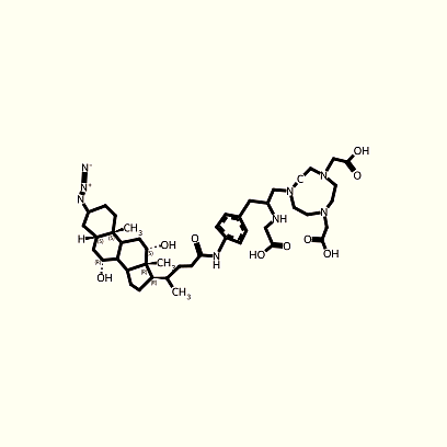 CC(CCC(=O)Nc1ccc(CC(CN2CCN(CC(=O)O)CCN(CC(=O)O)CC2)NCC(=O)O)cc1)[C@H]1CCC2C3C(C[C@H](O)[C@@]21C)[C@@]1(C)CCC(N=[N+]=[N-])C[C@H]1C[C@H]3O